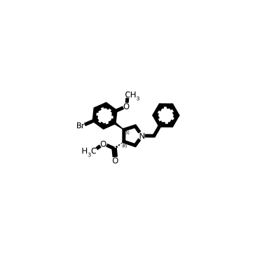 COC(=O)[C@H]1CN(Cc2ccccc2)C[C@@H]1c1cc(Br)ccc1OC